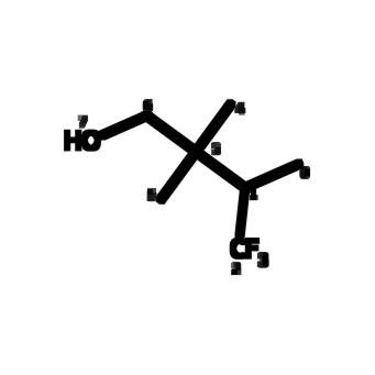 CC(C(F)(F)F)C(C)(C)CO